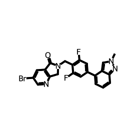 Cn1cc2c(-c3cc(F)c(CN4Cc5ncc(Br)cc5C4=O)c(F)c3)cccc2n1